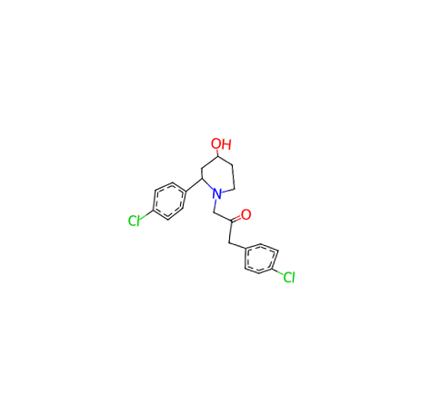 O=C(Cc1ccc(Cl)cc1)CN1CCC(O)CC1c1ccc(Cl)cc1